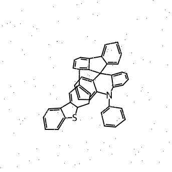 C1=C(c2cccc3c2C2(c4ccccc4-3)c3ccccc3N(c3ccccc3)c3ccccc32)C=C2c3ccccc3SC2C1